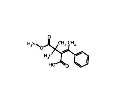 CC(=C(C(=O)O)C(C)(C)C(=O)O[SiH3])c1ccccc1